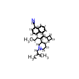 CCCC(=C(c1cccc2c(C#N)cccc12)C1CCC1)C1[CH]CCN(CC(C)C)C1